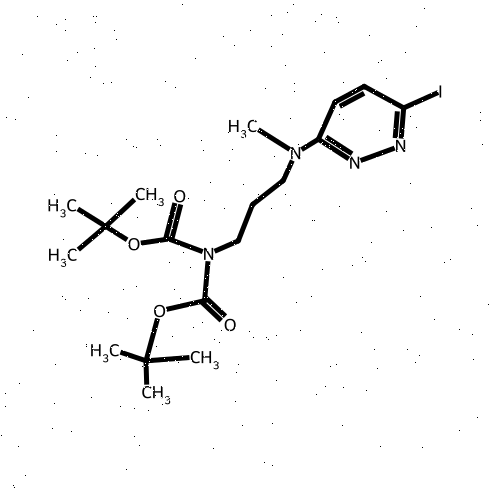 CN(CCCN(C(=O)OC(C)(C)C)C(=O)OC(C)(C)C)c1ccc(I)nn1